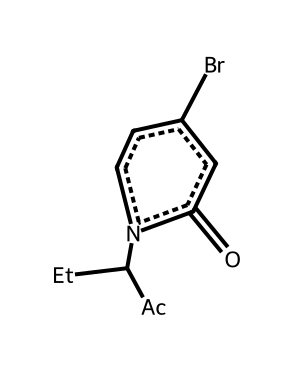 CCC(C(C)=O)n1ccc(Br)cc1=O